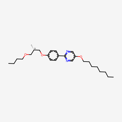 CCCCCCCCOc1cnc(-c2ccc(OC[C@@H](C)COCCCC)cc2)nc1